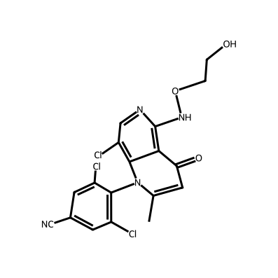 Cc1cc(=O)c2c(NOCCO)ncc(Cl)c2n1-c1c(Cl)cc(C#N)cc1Cl